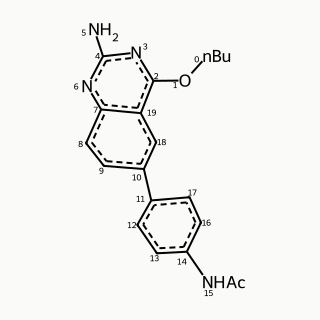 CCCCOc1nc(N)nc2ccc(-c3ccc(NC(C)=O)cc3)cc12